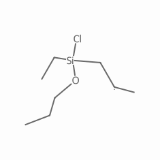 C[CH]C[Si](Cl)(CC)OCCC